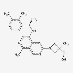 Cc1cccc([C@@H](C)Nc2nnc(C)c3cnc(N4CC(C)(CO)C4)cc23)c1C